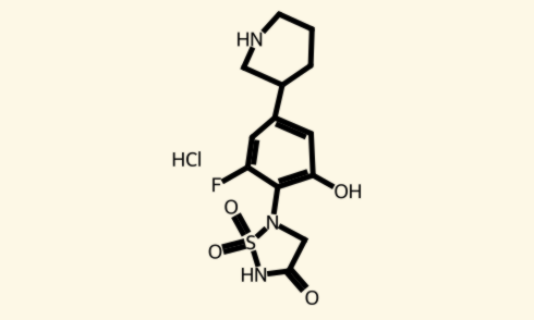 Cl.O=C1CN(c2c(O)cc(C3CCCNC3)cc2F)S(=O)(=O)N1